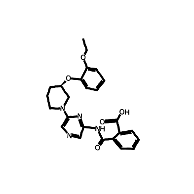 CCOc1ccccc1O[C@@H]1CCCN(c2cncc(NC(=O)c3ccccc3C(=O)O)n2)C1